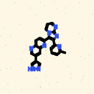 Cc1cccc(-c2nc3ncccn3c2-c2ccc3ncc(-c4cn[nH]c4)cc3n2)n1